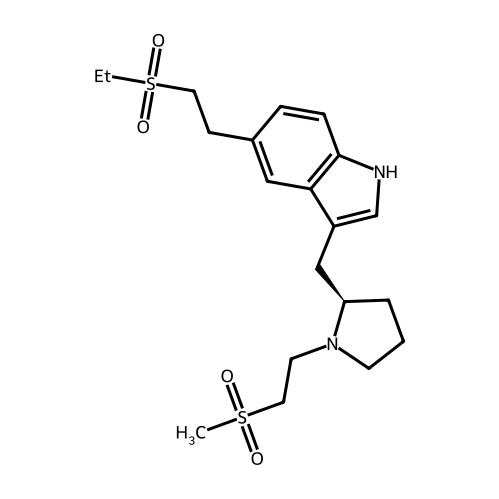 CCS(=O)(=O)CCc1ccc2[nH]cc(C[C@H]3CCCN3CCS(C)(=O)=O)c2c1